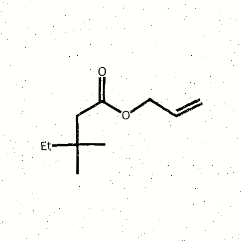 C=CCOC(=O)CC(C)(C)CC